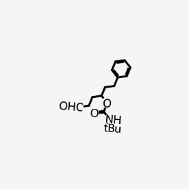 CC(C)(C)NC(=O)OC(CCC=O)CCc1ccccc1